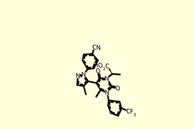 Cc1cnn(-c2ccc(C#N)cc2)c1-c1c(C)n(-c2cccc(C(F)(F)F)c2)c(=O)n([C@H](C)C(=O)O)c1=O